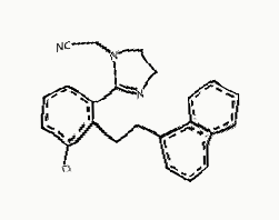 N#CCN1CCN=C1c1cccc(Cl)c1CCc1cccc2ccccc12